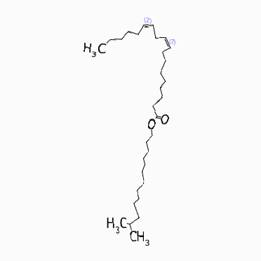 CCCCC/C=C\C/C=C\CCCCCCCC(=O)OCCCCCCCCCCCC(C)C